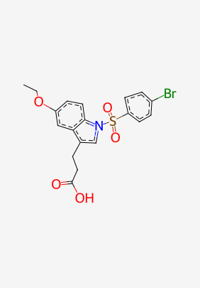 CCOc1ccc2c(c1)c(CCC(=O)O)cn2S(=O)(=O)c1ccc(Br)cc1